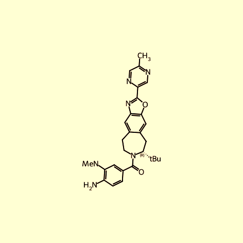 CNc1cc(C(=O)N2CCc3cc4nc(-c5cnc(C)cn5)oc4cc3C[C@@H]2C(C)(C)C)ccc1N